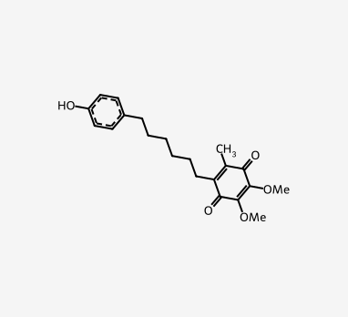 COC1=C(OC)C(=O)C(CCCCCCc2ccc(O)cc2)=C(C)C1=O